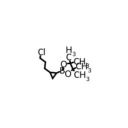 CC1(C)OB(C2CC2CCCCl)OC1(C)C